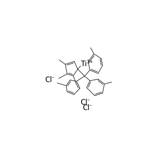 CC1=C[C]([Ti+3])(C(c2cccc(C)c2)(c2cccc(C)c2)c2cccc(C)c2)C(C)=C1C.[Cl-].[Cl-].[Cl-]